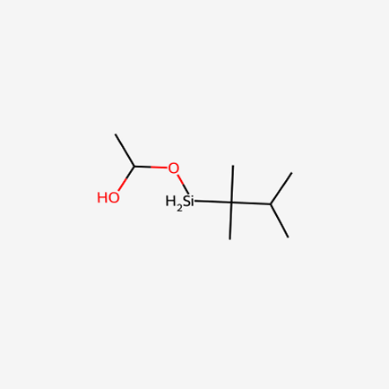 CC(O)O[SiH2]C(C)(C)C(C)C